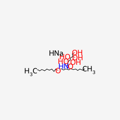 CCCCCCCCCCOCCC(CCCCCCCC)NC(=O)[C@H](O)[C@@H](O)[C@H](O)[C@H](O)CO.[NaH]